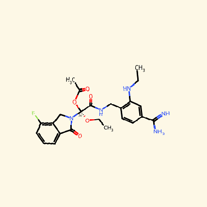 CCNc1cc(C(=N)N)ccc1CNC(=O)[C@](OCC)(OC(C)=O)N1Cc2c(F)cccc2C1=O